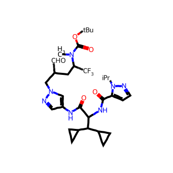 CC(C)n1nccc1C(=O)NC(C(=O)Nc1cnn(CC(C=O)CC(N(C)C(=O)OC(C)(C)C)C(F)(F)F)c1)C(C1CC1)C1CC1